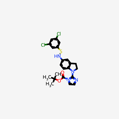 CC(C)(C)OC(=O)n1ccnc1N1CCc2cc(NSc3cc(Cl)cc(Cl)c3)ccc21